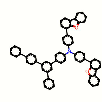 c1ccc(-c2ccc(-c3cc(-c4ccccc4)cc(-c4ccc(N(c5ccc(-c6cccc7c6oc6ccccc67)cc5)c5ccc(-c6cccc7c6oc6ccccc67)cc5)cc4)c3)cc2)cc1